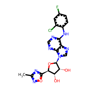 Cc1noc([C@H]2O[C@@H](n3cnc4c(Nc5ccc(F)cc5Cl)ncnc43)[C@H](O)[C@@H]2O)n1